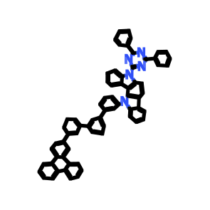 C1=C(c2cccc(-c3cccc(-n4c5ccccc5c5ccc6c(c7ccccc7n6-c6nc(-c7ccccc7)nc(-c7ccccc7)n6)c54)c3)c2)C=C(c2ccc3c4ccccc4c4ccccc4c3c2)CC1